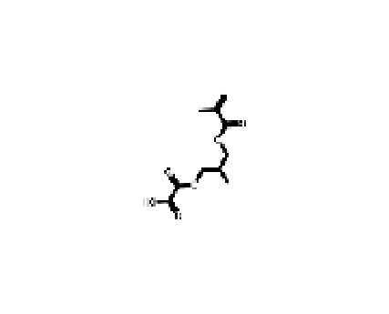 C=C(C)C(=O)OCC(C)COC(=O)C(=O)O